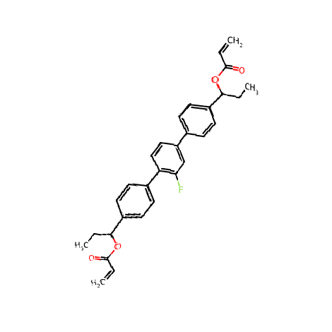 C=CC(=O)OC(CC)c1ccc(-c2ccc(-c3ccc(C(CC)OC(=O)C=C)cc3)c(F)c2)cc1